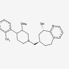 COC1CN(C[C@@H]2CCc3cccnc3[C@@H](O)C2)CCC1c1ccccc1C